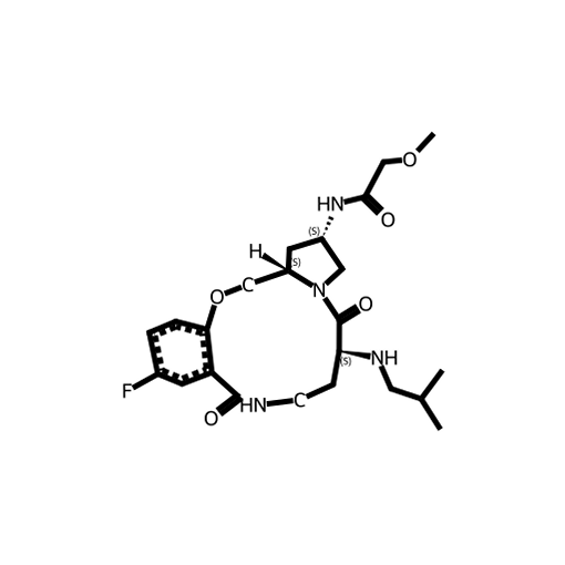 COCC(=O)N[C@H]1C[C@H]2COc3ccc(F)cc3C(=O)NCC[C@H](NCC(C)C)C(=O)N2C1